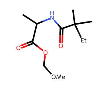 CCC(C)(C)C(=O)NC(C)C(=O)OCOC